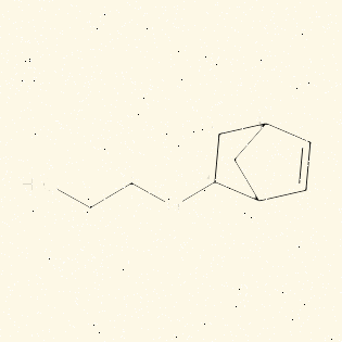 CCCOC1CC2C=CC1C2